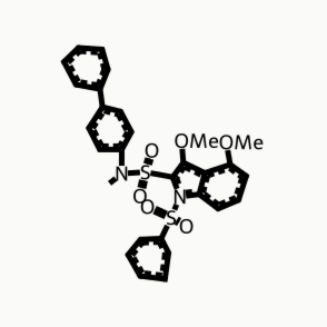 COc1cccc2c1c(OC)c(S(=O)(=O)N(C)c1ccc(-c3ccccc3)cc1)n2S(=O)(=O)c1ccccc1